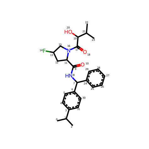 CC(C)c1ccc(C(NC(=O)C2CC(F)CN2C(=O)C(O)C(C)C)c2ccccc2)cc1